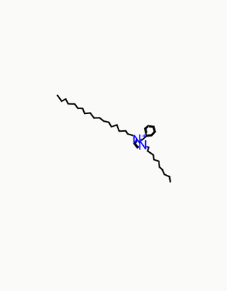 CCCCCCCCCCCCCCCCCCC[n+]1ccn(CCCCCCCCCC)c1-c1ccccc1